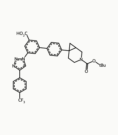 CC(C)(C)OC(=O)N1CCC2(c3ccc(-c4cc(C(=O)O)cc(-n5cc(-c6ccc(C(F)(F)F)cc6)nn5)c4)cc3)CC2C1